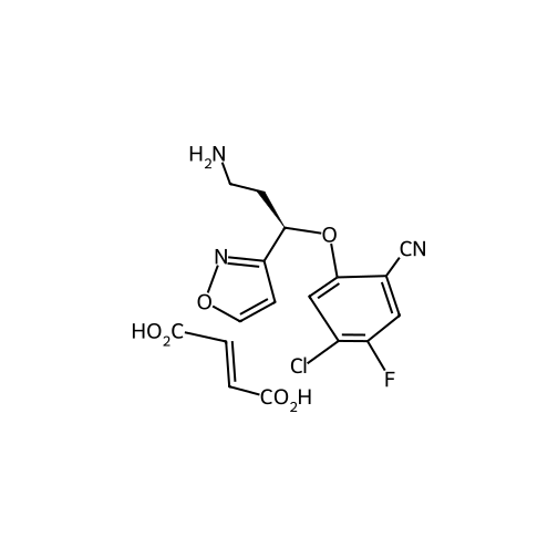 N#Cc1cc(F)c(Cl)cc1O[C@H](CCN)c1ccon1.O=C(O)/C=C/C(=O)O